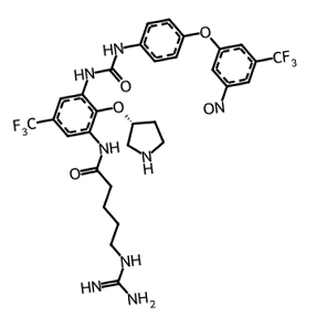 N=C(N)NCCCCC(=O)Nc1cc(C(F)(F)F)cc(NC(=O)Nc2ccc(Oc3cc(N=O)cc(C(F)(F)F)c3)cc2)c1O[C@@H]1CCNC1